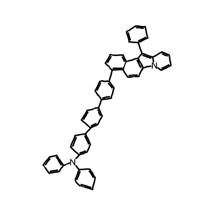 c1ccc(-c2c3c4cccc(-c5ccc(-c6ccc(-c7ccc(N(c8ccccc8)c8ccccc8)cc7)cc6)cc5)c4ccc3n3ccccc23)cc1